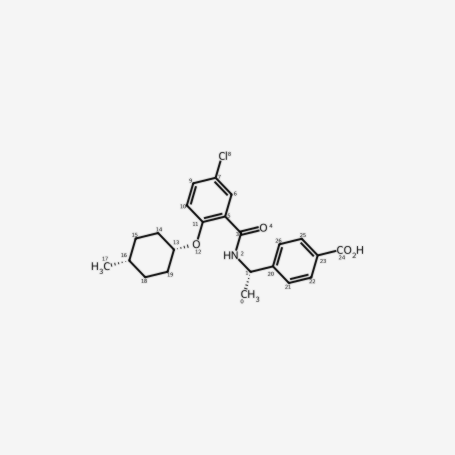 C[C@H](NC(=O)c1cc(Cl)ccc1O[C@H]1CC[C@@H](C)CC1)c1ccc(C(=O)O)cc1